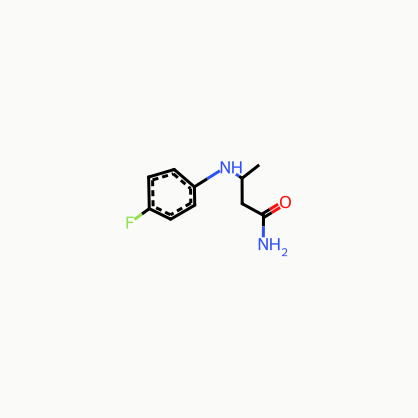 CC(CC(N)=O)Nc1ccc(F)cc1